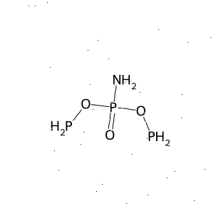 NP(=O)(OP)OP